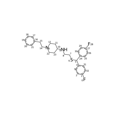 Fc1ccc(C(SCCNC2CCN(CCc3ccccc3)CC2)c2ccc(F)cc2)cc1